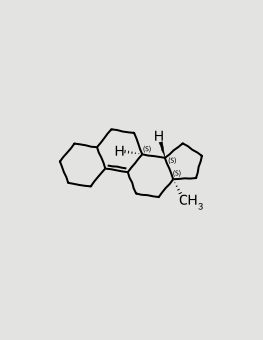 C[C@@]12CCC[C@H]1[C@@H]1CCC3CCCCC3=C1CC2